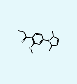 COC(=O)c1ccc(N2C(C)C=CC2C)cc1OC